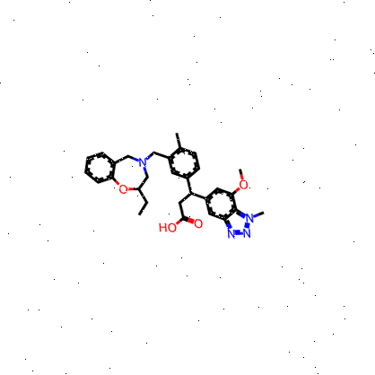 CCC1CN(Cc2cc(C(CC(=O)O)c3cc(OC)c4c(c3)nnn4C)ccc2C)Cc2ccccc2O1